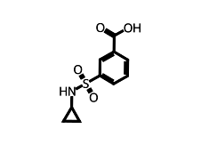 O=C(O)c1cccc(S(=O)(=O)NC2CC2)c1